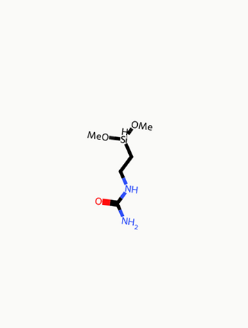 CO[SiH](CCNC(N)=O)OC